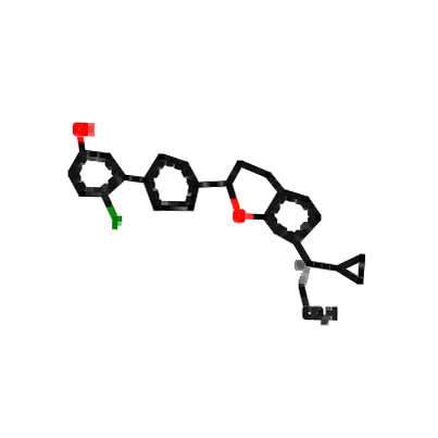 O=C(O)C[C@H](c1ccc2c(c1)OC(c1ccc(-c3cc(O)ccc3F)cc1)CC2)C1CC1